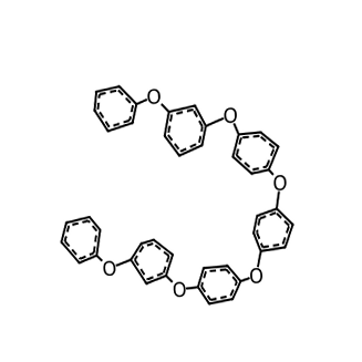 c1ccc(Oc2cccc(Oc3ccc(Oc4ccc(Oc5ccc(Oc6cccc(Oc7ccccc7)c6)cc5)cc4)cc3)c2)cc1